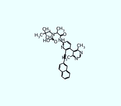 Cc1ncnc(C)c1-c1ccc(NC(=O)C(C)N(CC(C)(C)C)C(=O)O)nc1C#Cc1ccc2ccccc2c1